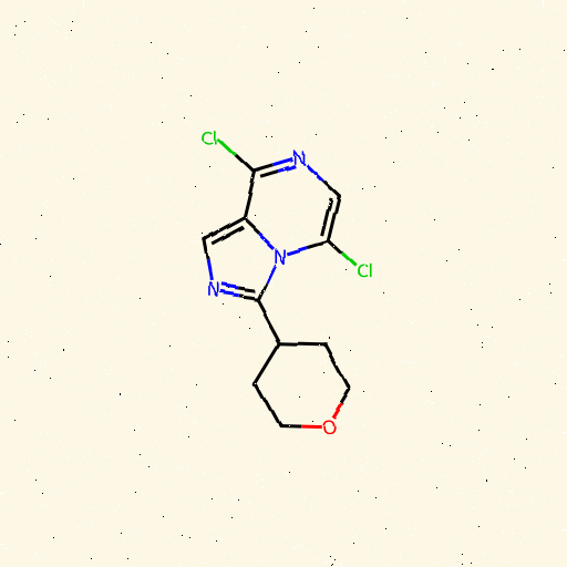 Clc1ncc(Cl)n2c(C3CCOCC3)ncc12